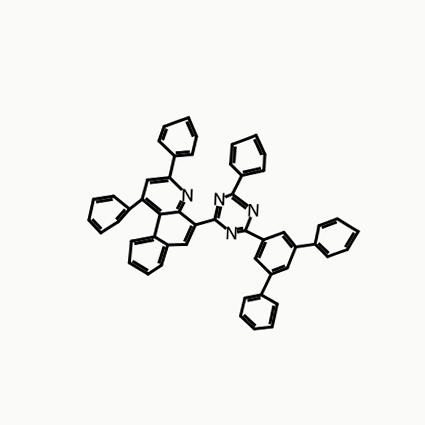 c1ccc(-c2cc(-c3ccccc3)cc(-c3nc(-c4ccccc4)nc(-c4cc5ccccc5c5c(-c6ccccc6)cc(-c6ccccc6)nc45)n3)c2)cc1